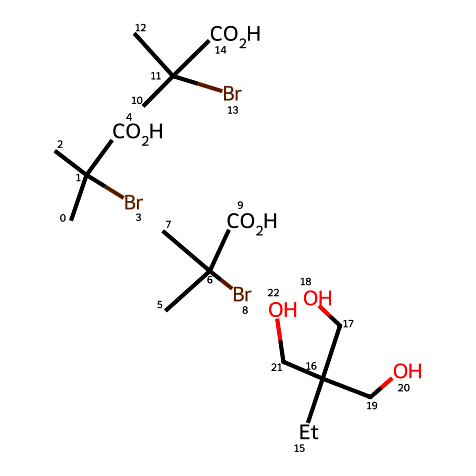 CC(C)(Br)C(=O)O.CC(C)(Br)C(=O)O.CC(C)(Br)C(=O)O.CCC(CO)(CO)CO